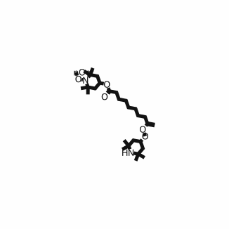 C=C(CCCCCCCC(=O)OC1CC(C)(C)N(OCCCCCCCC)C(C)(C)C1)OOC1CC(C)(C)NC(C)(C)C1